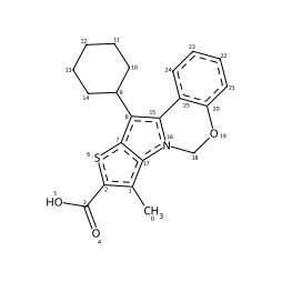 Cc1c(C(=O)O)sc2c(C3CCCCC3)c3n(c12)COc1ccccc1-3